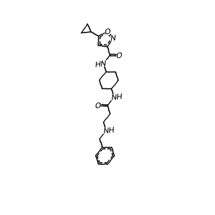 O=C(CCNCc1ccccc1)NC1CCC(NC(=O)c2cc(C3CC3)on2)CC1